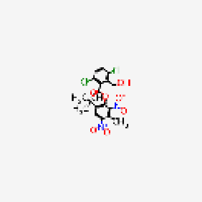 Cc1c([N+](=O)[O-])cc(C(C)(C)C)c(OC(=O)c2c(Cl)ccc(Cl)c2CO)c1[N+](=O)[O-]